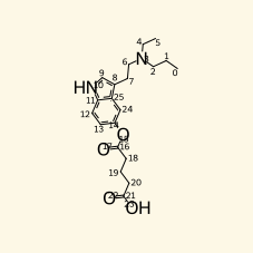 CCCN(CC)CCc1c[nH]c2ccc(OC(=O)CCCC(=O)O)cc12